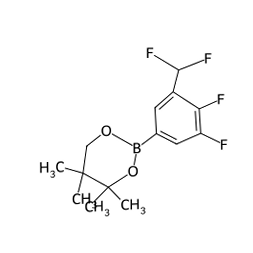 CC1(C)COB(c2cc(F)c(F)c(C(F)F)c2)OC1(C)C